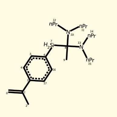 C=C(C)c1ccc([SiH2]C(C)(N(CCC)CCC)N(CCC)CCC)cc1